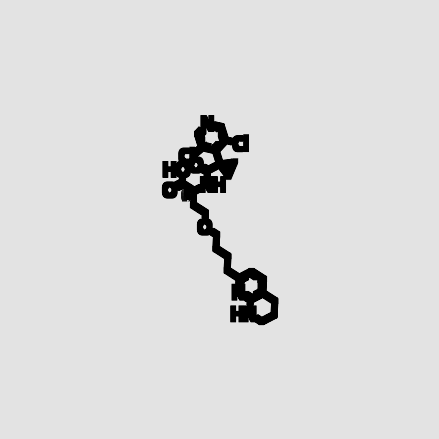 O=C(O)[C@H](CCOCCCCc1ccc2c(n1)NCCC2)NC(=O)C1(c2c(Cl)cncc2Cl)CC1